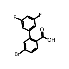 O=C(O)c1ccc(Br)cc1-c1cc(F)cc(F)c1